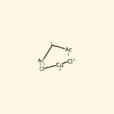 CC(=O)CC(C)=O.[Cl][Cu][Cl]